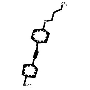 CCCCCCCCCCc1ccc(C#Cc2ccc(OCCCC(F)(F)F)cc2)cc1